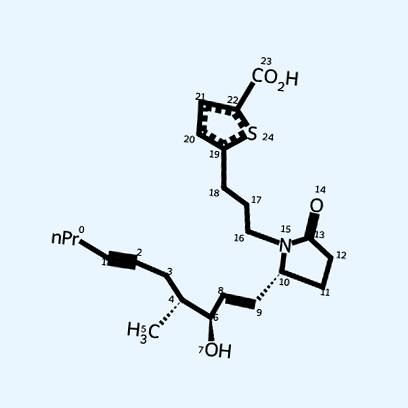 CCCC#CC[C@@H](C)[C@H](O)C=C[C@H]1CCC(=O)N1CCCc1ccc(C(=O)O)s1